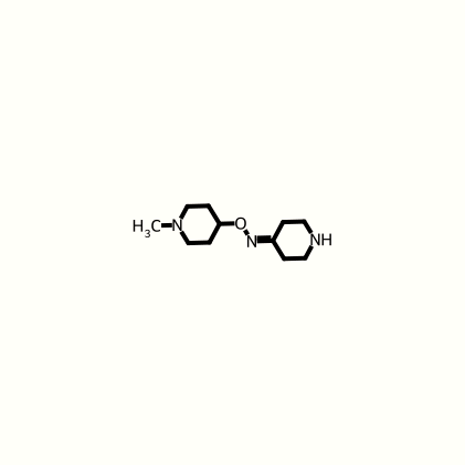 CN1CCC(ON=C2CCNCC2)CC1